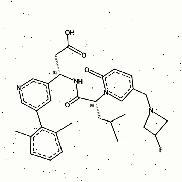 Cc1cccc(C)c1-c1cncc([C@H](CC(=O)O)NC(=O)[C@@H](CC(C)C)n2cc(CN3CC(F)C3)ccc2=O)c1